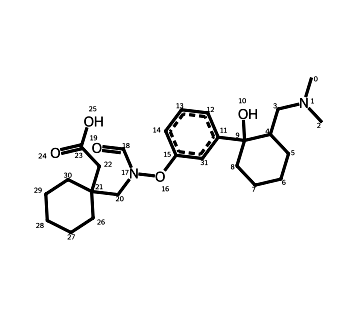 CN(C)CC1CCCCC1(O)c1cccc(ON(C=O)CC2(CC(=O)O)CCCCC2)c1